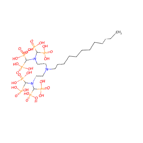 CCCCCCCCCCCCN(CCN(C(P(=O)(O)O)P(=O)(O)O)C(P(=O)(O)O)P(=O)(O)O)CCN(C(P(=O)(O)O)P(=O)(O)O)C(P(=O)(O)O)P(=O)(O)O